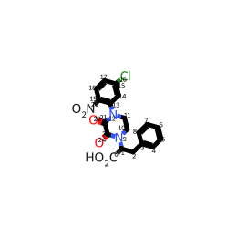 O=C(O)C(Cc1ccccc1)N1CCN(c2cc(Cl)ccc2[N+](=O)[O-])C(=O)C1=O